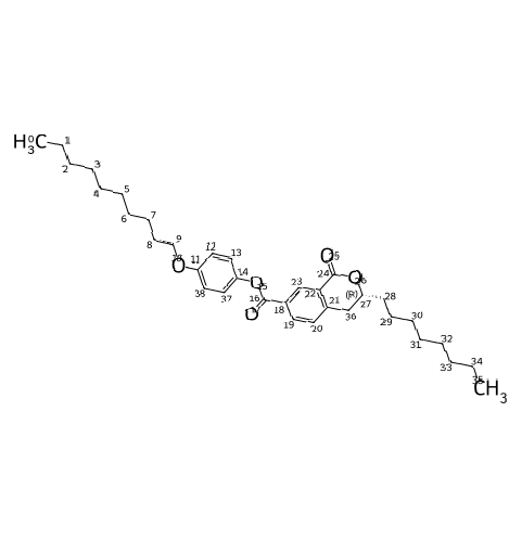 CCCCCCCCCCOc1ccc(OC(=O)c2ccc3c(c2)C(=O)O[C@H](CCCCCCCC)C3)cc1